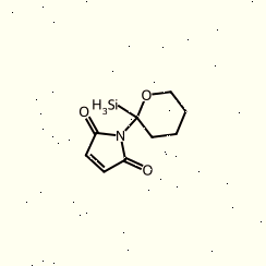 O=C1C=CC(=O)N1C1([SiH3])CCCCO1